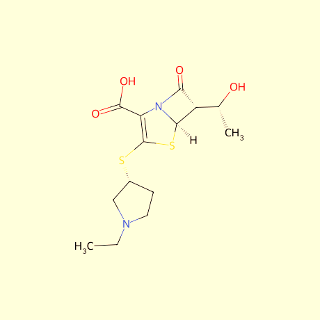 CCN1CC[C@@H](SC2=C(C(=O)O)N3C(=O)[C@H]([C@@H](C)O)[C@H]3S2)C1